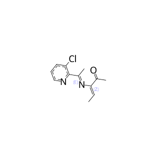 C/C=C(\N=C(/C)c1ncccc1Cl)C(C)=O